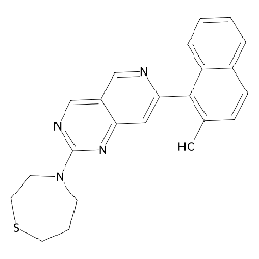 Oc1ccc2ccccc2c1-c1cc2nc(N3CCCSCC3)ncc2cn1